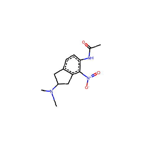 CC(=O)Nc1ccc2c(c1[N+](=O)[O-])CC(N(C)C)C2